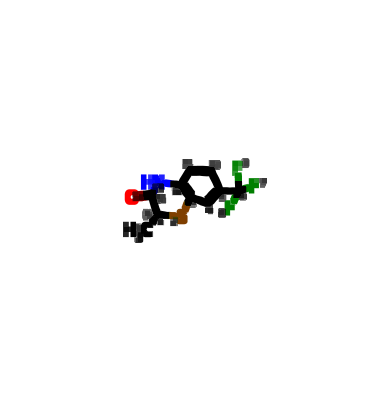 C[C@@H]1Sc2cc(C(F)(F)F)ccc2NC1=O